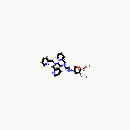 C[C@H]1C[C@@H](NCCN(CCN(Cc2ccccn2)Cc2ccccn2)Cc2ccccn2)CO[C@@H]1CO